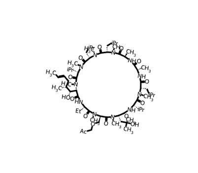 C/C=C/C[C@@H](C)[C@@H](O)[C@H]1C(=O)N[C@@H](CC)C(=O)N(C)[C@H](COCC(C)=O)C(=O)N(C)[C@@H](CC(C)(C)O)C(=O)N[C@@H](C(C)C)C(=O)N(C)[C@@H](CC(C)C)C(=O)N[C@@H](C)C(=O)N[C@H](C)C(=O)N(C)[C@@H](CC(C)C)C(=O)N(C)[C@@H](CC(C)C)C(=O)N(C)[C@@H](C(C)C)C(=O)N1C